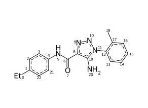 CCc1ccc(NC(=O)c2nnn(-c3ccccc3C)c2N)cc1